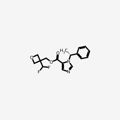 C[C@H](c1ccccc1)n1cncc1C(=O)OCC1(C(F)F)COC1